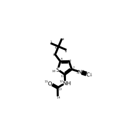 [C-]#[N+]c1cc(CC(C)(C)C)sc1NC(C)=O